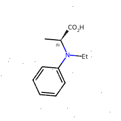 CCN(c1ccccc1)[C@@H](C)C(=O)O